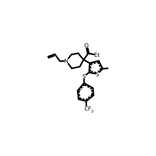 C=CCN1CCC(C(=O)CC)(c2cc(C)sc2Sc2ccc(C(F)(F)F)cc2)CC1